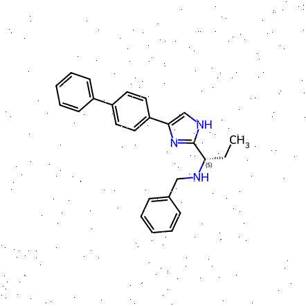 CC[C@H](NCc1ccccc1)c1nc(-c2ccc(-c3ccccc3)cc2)c[nH]1